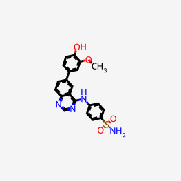 COc1cc(-c2ccc3ncnc(Nc4ccc(S(N)(=O)=O)cc4)c3c2)ccc1O